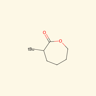 CC(C)(C)C1CCCCOC1=O